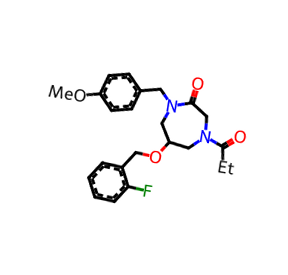 CCC(=O)N1CC(=O)N(Cc2ccc(OC)cc2)CC(OCc2ccccc2F)C1